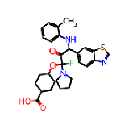 Cc1ccccc1NC(C(=O)C(F)(OC1CCC(C(=O)O)CC1)N1CCCC1)c1ccc2ncsc2c1